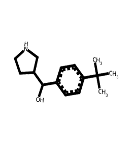 CC(C)(C)c1ccc(C(O)C2CCNC2)cc1